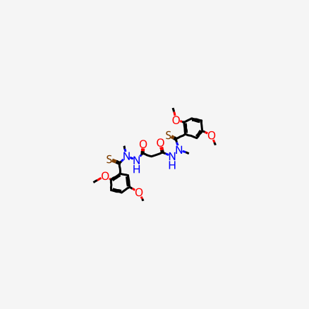 COc1ccc(OC)c(C(=S)N(C)NC(=O)CC(=O)NN(C)C(=S)c2cc(OC)ccc2OC)c1